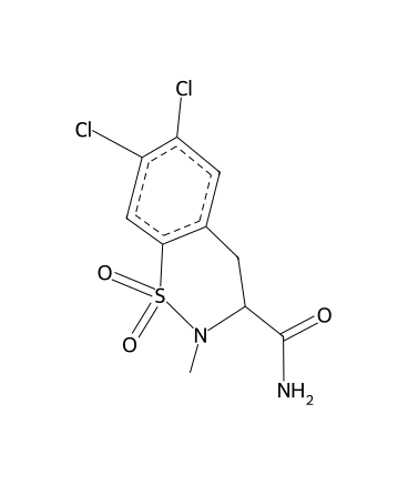 CN1C(C(N)=O)Cc2cc(Cl)c(Cl)cc2S1(=O)=O